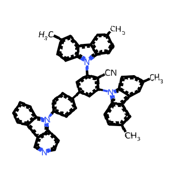 Cc1ccc2c(c1)c1cc(C)ccc1n2-c1cc(-c2ccc(-n3c4ccccc4c4cnccc43)cc2)cc(-n2c3ccc(C)cc3c3cc(C)ccc32)c1C#N